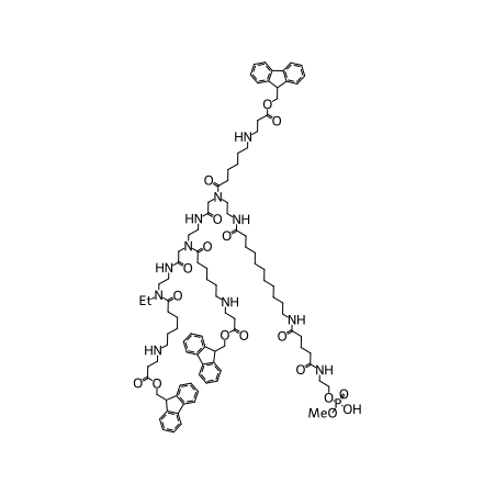 CCN(CCNC(=O)CN(CCNC(=O)CN(CCNC(=O)CCCCCCCCCCNC(=O)CCCC(=O)NCCOP(=O)(O)OC)C(=O)CCCCCNCCC(=O)OCC1c2ccccc2-c2ccccc21)C(=O)CCCCCNCCC(=O)OCC1c2ccccc2-c2ccccc21)C(=O)CCCCCNCCC(=O)OCC1c2ccccc2-c2ccccc21